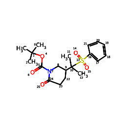 CC(C)(C)OC(=O)N1CC(C(C)(C)S(=O)(=O)c2ccccc2)CCC1=O